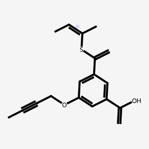 C=C(O)c1cc(OCC#CC)cc(C(=C)S/C(C)=C\C)c1